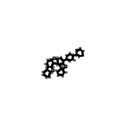 c1ccc(-c2ccc(-c3cc4oc5ccc6c7ccccc7oc6c5c4c4c3oc3ccccc34)cc2)nc1